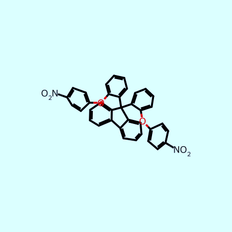 O=[N+]([O-])c1ccc(Oc2ccccc2C2(c3ccccc3Oc3ccc([N+](=O)[O-])cc3)c3ccccc3-c3ccccc32)cc1